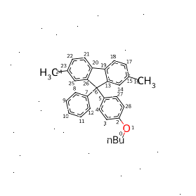 CCCCOc1ccc(C2(c3ccccc3)c3cc(C)ccc3-c3ccc(C)cc32)cc1